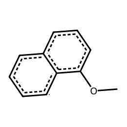 COc1cccc2ccc[c]c12